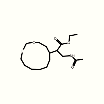 CCOC(=O)C(CNC(C)=O)C1CCCCCCCCCCC1